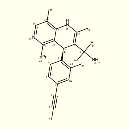 CC#Cc1ccc([C@@H]2C(C(C)(N)CC)=C(C)Nc3c(C)cnc(CCC)c32)c(C)c1